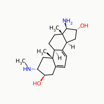 CN[C@@H]1C[C@@]2(C)C(=CC=C3[C@@H]4C[C@@H](O)[C@H](N)[C@@]4(C)CC[C@@H]32)C[C@H]1O